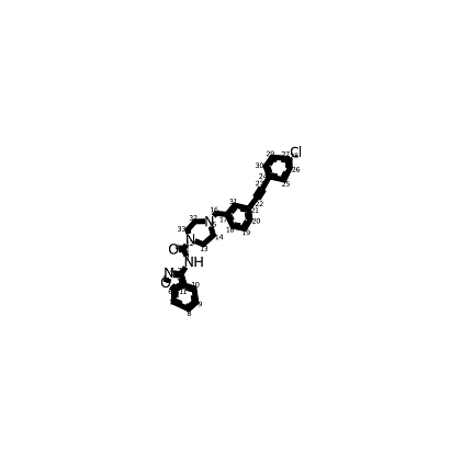 O=C(Nc1noc2ccccc12)N1CCN(Cc2cccc(C#Cc3ccc(Cl)cc3)c2)CC1